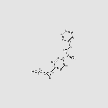 O=C(OCc1ccccc1)c1ccc(C2CC2C(=O)O)cc1